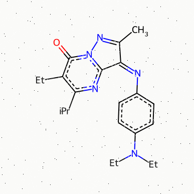 CCc1c(C(C)C)nc2n(c1=O)N=C(C)C2=Nc1ccc(N(CC)CC)cc1